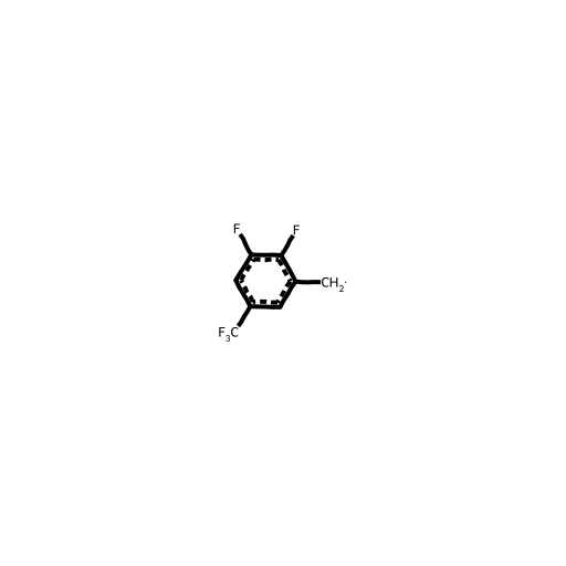 [CH2]c1cc(C(F)(F)F)cc(F)c1F